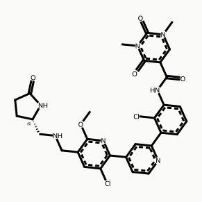 COc1nc(-c2ccnc(-c3cccc(NC(=O)c4cn(C)c(=O)n(C)c4=O)c3Cl)c2)c(Cl)cc1CNC[C@@H]1CCC(=O)N1